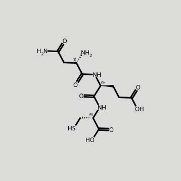 NC(=O)C[C@H](N)C(=O)N[C@@H](CCC(=O)O)C(=O)N[C@@H](CS)C(=O)O